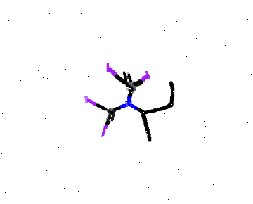 CCC(C)N([SiH](I)I)[SiH](I)I